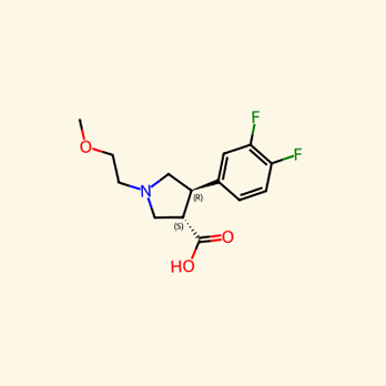 COCCN1C[C@@H](C(=O)O)[C@H](c2ccc(F)c(F)c2)C1